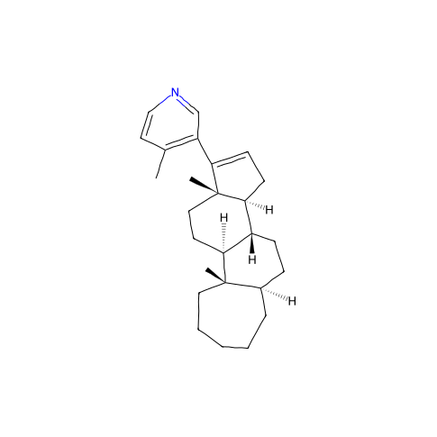 Cc1ccncc1C1=CC[C@H]2[C@@H]3CC[C@H]4CCCCC[C@]4(C)[C@H]3CC[C@]12C